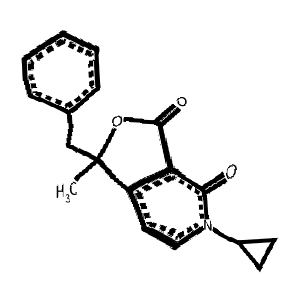 CC1(Cc2ccccc2)OC(=O)c2c1ccn(C1CC1)c2=O